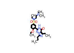 CCCc1nc(CC)c2c(=O)[nH]c(-c3cc(S(=O)(=O)N(CC)CCN(C)C)ccc3OCC)nn12